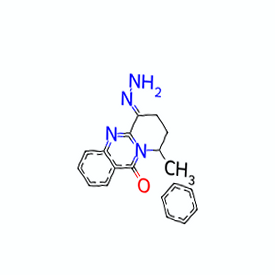 CC1CCC(=NN)c2nc3ccccc3c(=O)n21.c1ccccc1